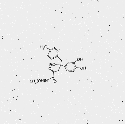 Cc1ccc(CC(O)(CC(=O)C(=O)N(C)O)c2ccc(O)c(O)c2)cc1